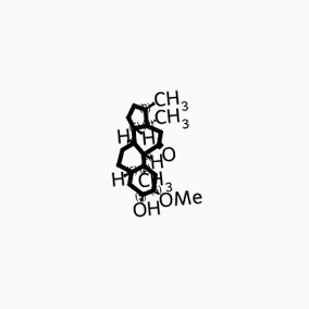 CO[C@H]1C[C@@]2(C)[C@@H](CC[C@H]3[C@@H]4CC[C@@H](C)[C@@]4(C)CC(=O)[C@@H]32)C[C@@H]1O